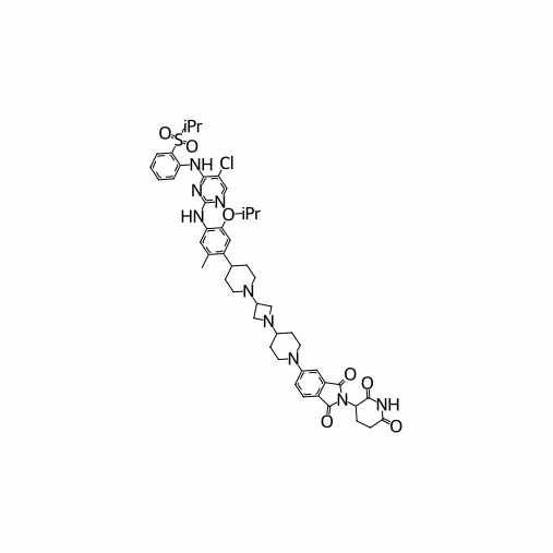 Cc1cc(Nc2ncc(Cl)c(Nc3ccccc3S(=O)(=O)C(C)C)n2)c(OC(C)C)cc1C1CCN(C2CN(C3CCN(c4ccc5c(c4)C(=O)N(C4CCC(=O)NC4=O)C5=O)CC3)C2)CC1